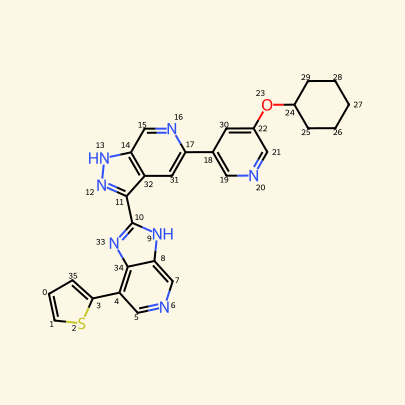 c1csc(-c2cncc3[nH]c(-c4n[nH]c5cnc(-c6cncc(OC7CCCCC7)c6)cc45)nc23)c1